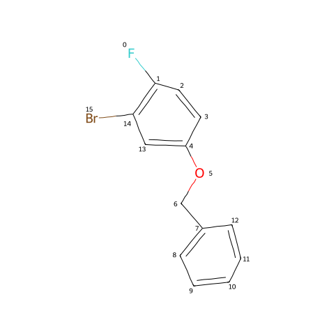 Fc1ccc(OCc2ccccc2)cc1Br